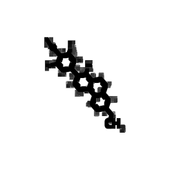 CCc1ccc2c(ccc3c(F)c(-c4cc(F)c(C#N)c(F)c4)ccc32)c1